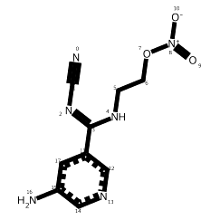 N#CN=C(NCCO[N+](=O)[O-])c1cncc(N)c1